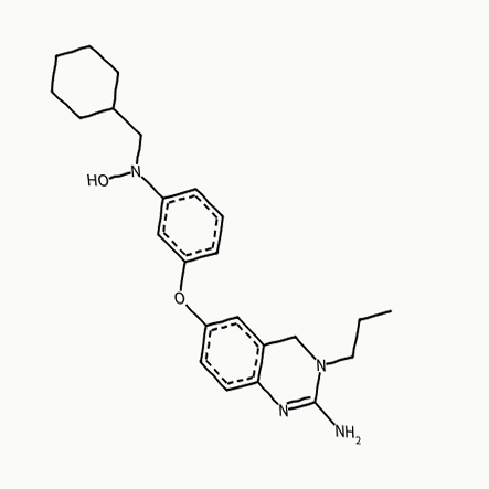 CCCN1Cc2cc(Oc3cccc(N(O)CC4CCCCC4)c3)ccc2N=C1N